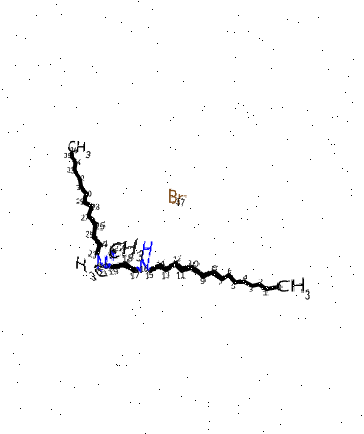 CCCCCCCCCCCCCCCCNCCC[N+](C)(C)CCCCCCCCCCCCCC.[Br-]